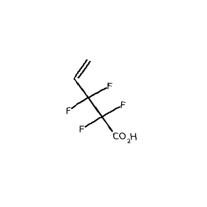 C=CC(F)(F)C(F)(F)C(=O)O